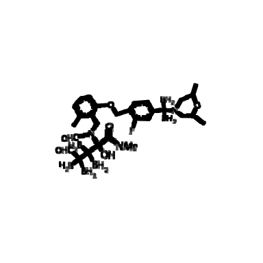 BC(B)(c1ccc(COc2cccc(C)c2CN(C=O)C(O)(C(=O)NC)C(B)(B)C(B)(B)C=O)c(F)c1)N1CC(C)OC(C)C1